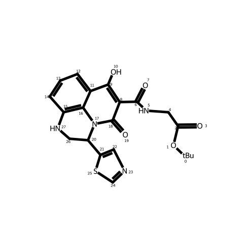 CC(C)(C)OC(=O)CNC(=O)c1c(O)c2cccc3c2n(c1=O)C(c1cncs1)CN3